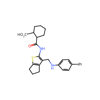 CC(C)c1ccc(NCc2c(NC(=O)C3CCCCC3C(=O)O)sc3c2CCC3)cc1